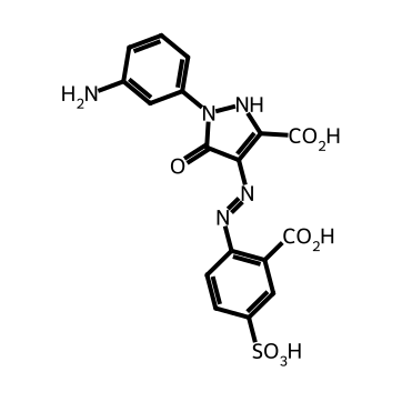 Nc1cccc(-n2[nH]c(C(=O)O)c(N=Nc3ccc(S(=O)(=O)O)cc3C(=O)O)c2=O)c1